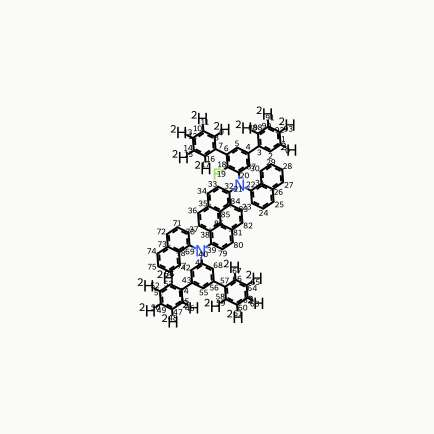 [2H]c1cc(-c2cc(-c3c([2H])c([2H])c([2H])c([2H])c3[2H])c(F)c(N(c3cccc4ccccc34)c3ccc4ccc5c(N(c6cc(-c7c([2H])c([2H])c([2H])c([2H])c7[2H])cc(-c7c([2H])c([2H])c([2H])c([2H])c7[2H])c6)c6cccc7ccccc67)ccc6ccc3c4c65)c2)c([2H])c([2H])c1[2H]